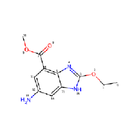 CCOc1nc2c(C(=O)OC)cc(N)cc2[nH]1